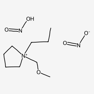 CCC[N+]1(COC)CCCC1.O=NO.O=N[O-]